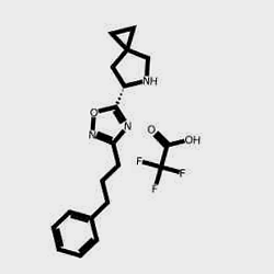 O=C(O)C(F)(F)F.c1ccc(CCCc2noc([C@@H]3CC4(CC4)CN3)n2)cc1